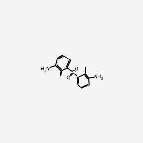 Cc1c(N)cccc1S(=O)(=O)c1cccc(N)c1C